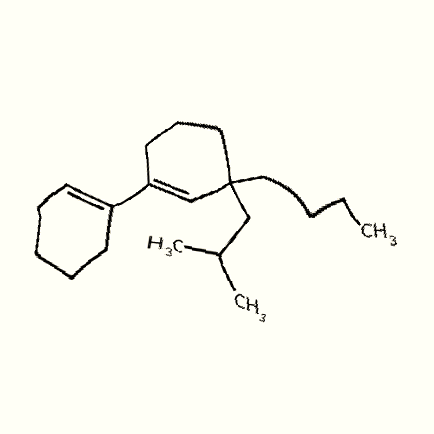 CCCCC1(CC(C)C)C=C(C2=CCCCC2)CCC1